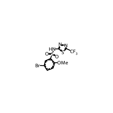 COc1ccc(Br)cc1S(=O)(=O)Nc1nnc(C(F)(F)F)s1